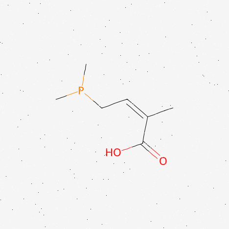 CC(=CCP(C)C)C(=O)O